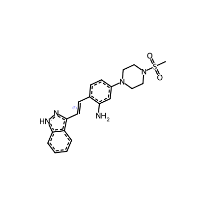 CS(=O)(=O)N1CCN(c2ccc(/C=C/c3n[nH]c4ccccc34)c(N)c2)CC1